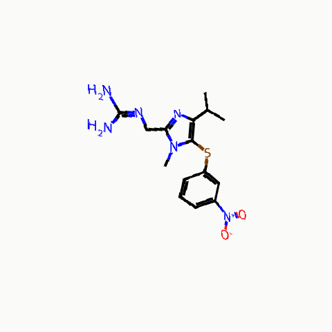 CC(C)c1nc(CN=C(N)N)n(C)c1Sc1cccc([N+](=O)[O-])c1